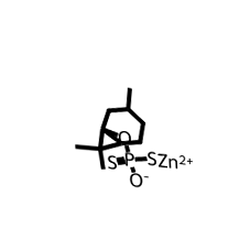 CC1CCC2C(C)(C)C2(OP([O-])(=S)[S-])C1.[Zn+2]